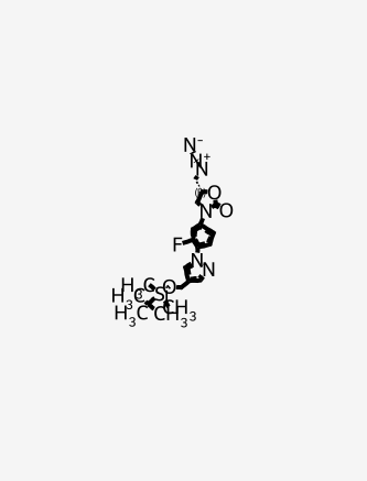 CC(C)(C)[Si](C)(C)OCc1cnn(-c2ccc(N3C[C@H](CN=[N+]=[N-])OC3=O)cc2F)c1